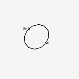 C1CCCCCNCCCCC1.[GaH3]